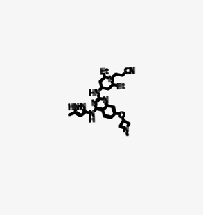 CCC1CC(Nc2nc(Nc3cc(C)[nH]n3)c3ccc(OC4CN(C)C4)cc3n2)CC(CC)N1CCC#N